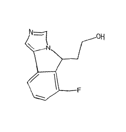 OCCC1c2c(F)cccc2-c2cncn21